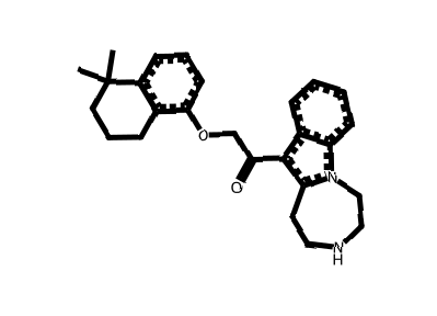 CC1(C)CCCc2c(OCC(=O)c3c4n(c5ccccc35)CCNCC4)cccc21